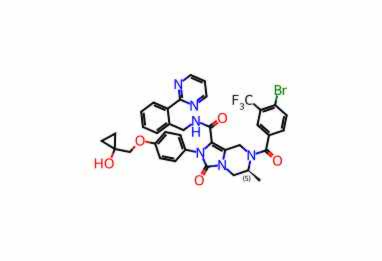 C[C@H]1Cn2c(c(C(=O)NCc3ccccc3-c3ncccn3)n(-c3ccc(OCC4(O)CC4)cc3)c2=O)CN1C(=O)c1ccc(Br)c(C(F)(F)F)c1